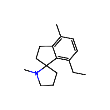 CCc1ccc(C)c2c1C1(CCCN1C)CC2